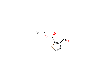 CCOC(=O)c1sccc1C=O